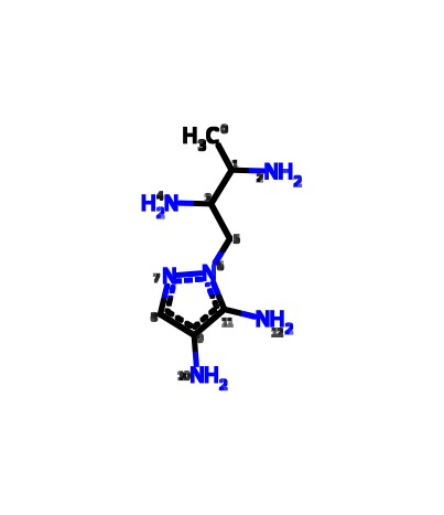 CC(N)C(N)Cn1ncc(N)c1N